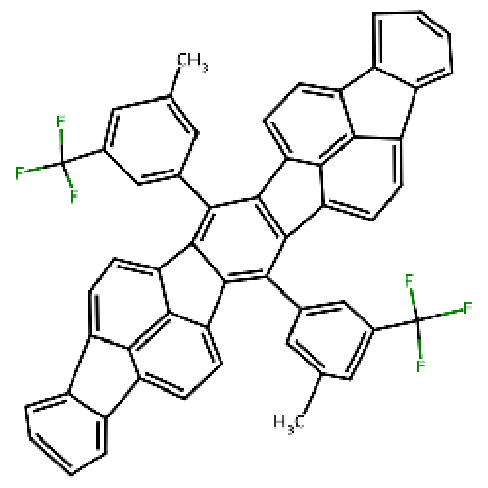 Cc1cc(-c2c3c4ccc5c6c(ccc(c3c(-c3cc(C)cc(C(F)(F)F)c3)c3c7ccc8c9c(ccc(c23)c97)-c2ccccc2-8)c64)-c2ccccc2-5)cc(C(F)(F)F)c1